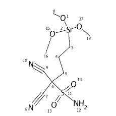 CO[Si](CCCC(C#N)(C#N)S(N)(=O)=O)(OC)OC